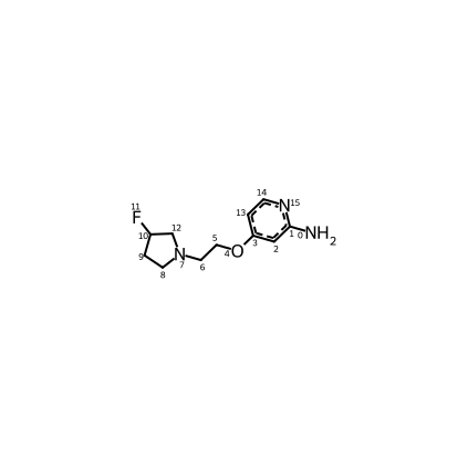 Nc1cc(OCCN2CCC(F)C2)ccn1